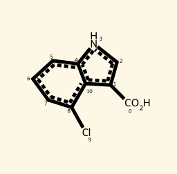 O=C(O)c1c[nH]c2cccc(Cl)c12